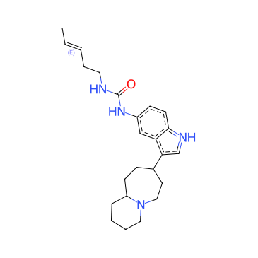 C/C=C/CCNC(=O)Nc1ccc2[nH]cc(C3CCC4CCCCN4CC3)c2c1